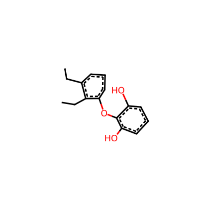 CCc1cccc(Oc2c(O)cccc2O)c1CC